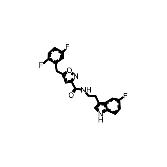 O=C(NCCc1c[nH]c2ccc(F)cc12)c1cc(Cc2cc(F)ccc2F)on1